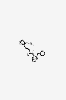 Cc1ccsc1C=CC(=O)NC1C2CCN(CC2)C1Cc1cccnc1